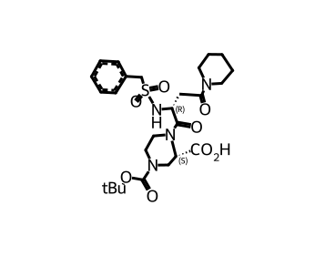 CC(C)(C)OC(=O)N1CCN(C(=O)[C@@H](CC(=O)N2CCCCC2)NS(=O)(=O)Cc2ccccc2)[C@H](C(=O)O)C1